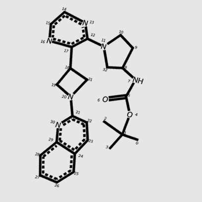 CC(C)(C)OC(=O)NC1CCN(c2nccnc2C2CN(c3ccc4ccccc4n3)C2)C1